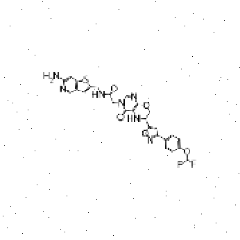 Nc1cc2sc(CNC(=O)Cn3cnc4c(c3=O)N[C@H](c3cc(-c5ccc(OC(F)F)cc5)no3)CO4)cc2cn1